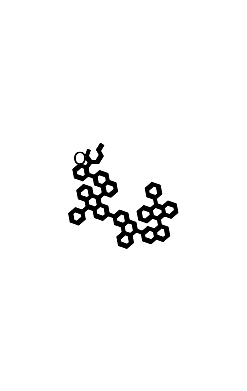 C=C/C=C\c1c(C)oc2cccc(-c3ccc4cccc(-c5c6ccccc6c(-c6ccccc6)c6ccc(-c7ccc8cc(-c9ccc%10cccc(-c%11c%12ccccc%12c(-c%12ccccc%12)c%12ccccc%11%12)c%10c9)c9ccccc9c8c7)cc56)c4c3)c12